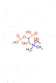 C[N+](C)(C)CC(OP(=O)(O)O)P(=O)(O)O